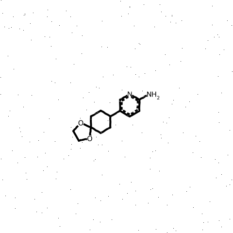 Nc1ccc(C2CCC3(CC2)OCCO3)cn1